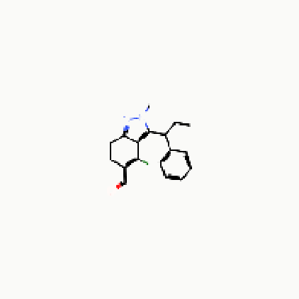 CCC(c1ccccc1)c1c2c(nn1C)CCC(C=O)=C2Cl